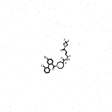 C[C@H](/C=C/C(=O)N1CC(F)(F)C1)NC(=O)[C@@]1(F)CCCN(C(=O)c2ccc(Br)cc2-c2ccccc2Cl)CC1